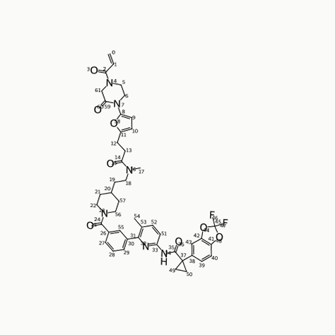 C=CC(=O)N1CCN(c2ccc(CCC(=O)N(C)CCC3CCN(C(=O)c4cccc(-c5nc(NC(=O)C6(c7ccc8c(c7)OC(F)(F)O8)CC6)ccc5C)c4)CC3)o2)C(=O)C1